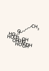 CCCCCCCCCC(=O)CCC1O[C@H](COC[C@]2(CO)O[C@@H](CO)C(O)C2O)C(O)C(O)[C@H]1O